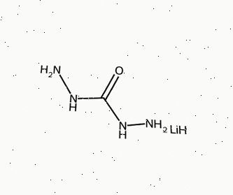 NNC(=O)NN.[LiH]